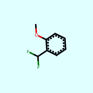 COc1ccc[c]c1C(F)F